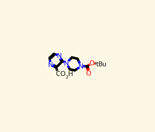 CC(C)(C)OC(=O)N1CCN(c2nccnc2C(=O)O)CC1